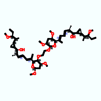 CC[C@H](OC)[C@@H](C)[C@H]1CC1[C@H](O)[C@@H](C)/C=C/C=C(\C)[C@@H]1O[C@@H](OC)C[C@H](OC)[C@@H]1OCCO[C@@H]1O[C@@H](/C(C)=C/C=C/[C@H](C)[C@@H](O)C2C[C@@H]2[C@H](C)[C@H](CC)OC)[C@H](OC)C[C@H]1OC